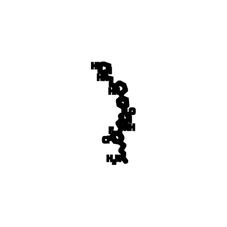 CC(N)CCCc1cc(Cl)c(F)c(-c2cc3cn(-c4ccc(C5CCCC(CCNC6=NCCNC6)N5)cc4)c(=O)nc3[nH]2)c1